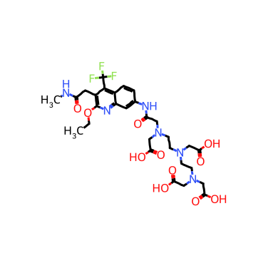 CCOc1nc2cc(NC(=O)CN(CCN(CCN(CC(=O)O)CC(=O)O)CC(=O)O)CC(=O)O)ccc2c(C(F)(F)F)c1CC(=O)NC